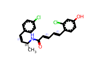 C[C@H](/C=C\c1ccc(Cl)cc1)NC(=O)/C=C/C=C/c1ccc(O)cc1Cl